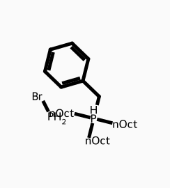 CCCCCCCC[PH](CCCCCCCC)(CCCCCCCC)Cc1ccccc1.PBr